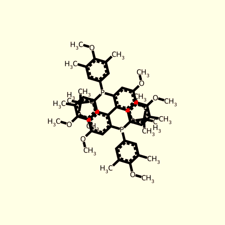 COc1cc(P(c2cc(C)c(OC)c(C)c2)c2cc(C)c(OC)c(C)c2)c(-c2c(P(c3cc(C)c(OC)c(C)c3)c3cc(C)c(OC)c(C)c3)cc(OC)c3c2OC(C)(C)O3)c2c1OC(C)(C)O2